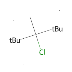 CC(C)(C)C(C)(Cl)C(C)(C)C